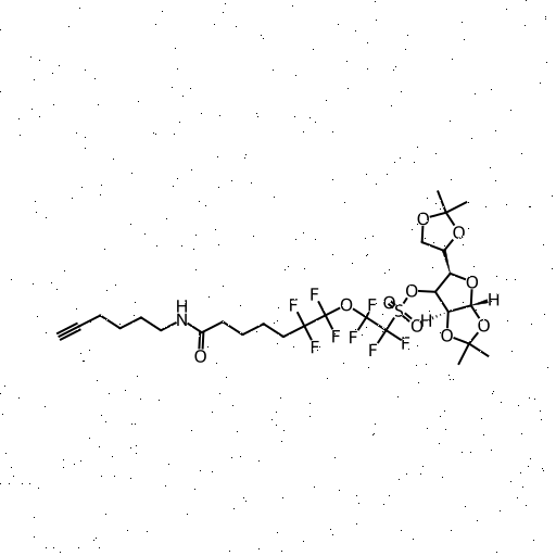 C#CCCCCNC(=O)CCCCC(F)(F)C(F)(F)OC(F)(F)C(F)(F)S(=O)(=O)OC1[C@@H](C2COC(C)(C)O2)O[C@@H]2OC(C)(C)O[C@@H]12